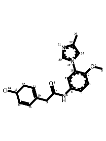 COc1ccc(NC(=O)CC2=CCC(Cl)C=C2)cc1-n1cnc(C)c1